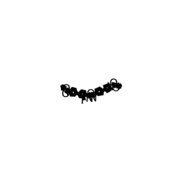 CC(C)(C)OC(=O)N1CC=C(c2ccc(-c3nnc(-c4ccc(C5=CCN(C(=O)OC(C)(C)C)CC5)cc4F)o3)cc2)CC1